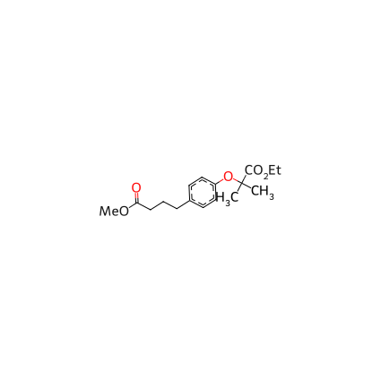 CCOC(=O)C(C)(C)Oc1ccc(CCCC(=O)OC)cc1